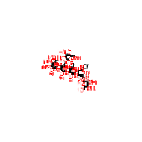 CCOC1OC(COC2OC(CO)C(O)C(O)C2O)C(O)C(OC2OC(CO)C(O)C(OC3OC(COC4OC(CO)C(O)C(O)C4O)[C@@H](O)C(OC4OC(CO)C(O)C(O)C4O)C3O)C2O)C1O